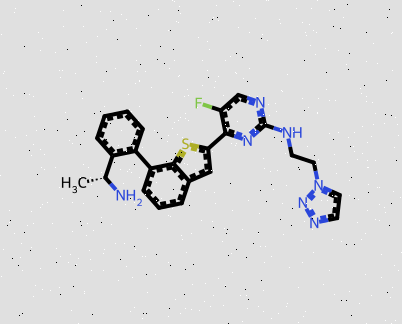 C[C@@H](N)c1ccccc1-c1cccc2cc(-c3nc(NCCn4ccnn4)ncc3F)sc12